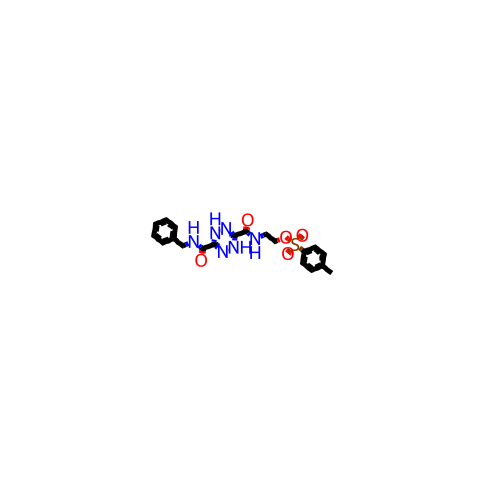 Cc1ccc(S(=O)(=O)OCCNC(=O)C2=NNC(C(=O)NCc3ccccc3)=NN2)cc1